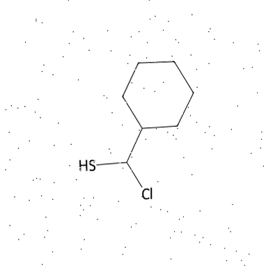 SC(Cl)C1CCCCC1